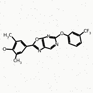 Cc1cc(-c2nc3cnc(Oc4cccc(C(F)(F)F)c4)nc3o2)cc(C)c1[O]